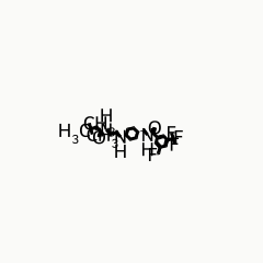 CC(C)(C)CC(=O)NCCN[C@H]1CC[C@H](CNC(=O)c2cc(CF)cc(C(F)(F)F)c2)CC1